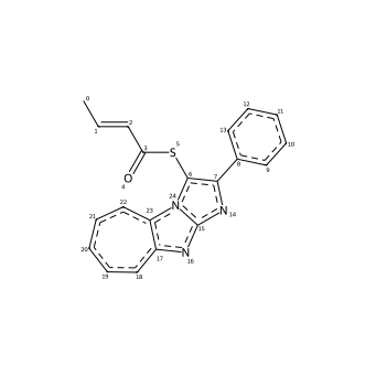 C/C=C/C(=O)Sc1c(-c2ccccc2)nc2nc3cccccc3n12